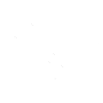 CCCCc1nc(CCc2ccccc2)nn1Cc1ccc(-n2cccc2C#N)cc1